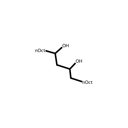 CCCCCCCCCC(O)CC(O)CCCCCCCC